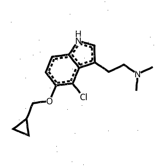 CN(C)CCc1c[nH]c2ccc(OCC3CC3)c(Cl)c12